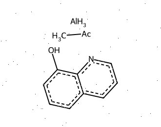 CC(C)=O.Oc1cccc2cccnc12.[AlH3]